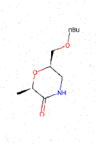 CCCCOC[C@H]1CNC(=O)[C@@H](C)O1